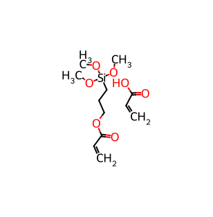 C=CC(=O)O.C=CC(=O)OCCC[Si](OC)(OC)OC